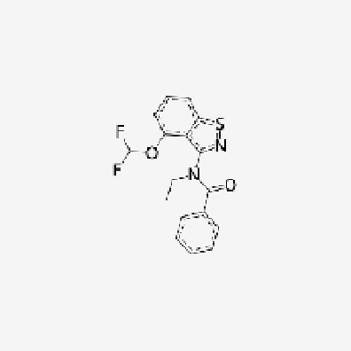 CCN(C(=O)c1ccccc1)c1nsc2cccc(OC(F)F)c12